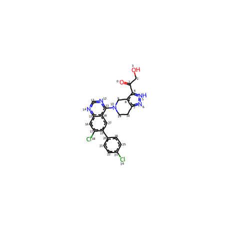 O=C(CO)c1[nH]nc2c1CN(c1ncnc3cc(Cl)c(-c4ccc(Cl)cc4)cc13)CC2